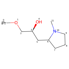 CC(C)OC[C@@H](O)CC1CCCN1C